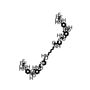 Cc1ccc(S(=O)(=O)Nc2ccc(NNC(=O)C(F)(F)F)cc2)c(C)c1NC(=O)C[n+]1cccc(CONCCCCCCNC(=O)c2ccc[n+](CC(=O)Nc3c(C)ccc(S(=O)(=O)Nc4ccc(NNC(=O)C(F)(F)F)cc4)c3C)c2)c1